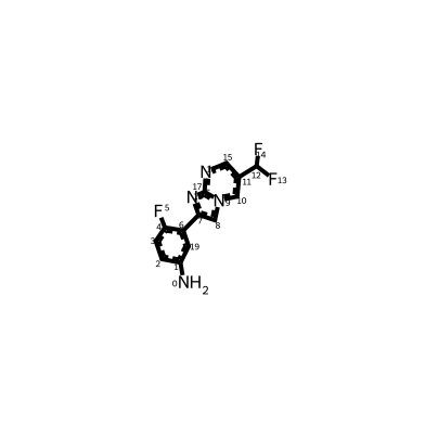 Nc1ccc(F)c(-c2cn3cc(C(F)F)cnc3n2)c1